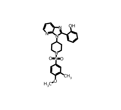 COc1ccc(S(=O)(=O)N2CCC(n3c(-c4ccccc4O)nc4cccnc43)CC2)cc1C